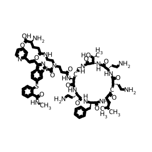 CNC(=O)c1ccccc1Sc1ccc2c(/C=C/c3ccccn3)nn(C(=O)N(CCNC(=O)CC[C@H](N)C(=O)O)CCC(=O)N[C@H]3CCNC(=O)[C@H]([C@@H](C)O)NC(=O)[C@H](CCN)NC(=O)[C@H](CCN)CC(=O)C(CC(C)C)NC(=O)[C@@H](Cc4ccccc4)NC(=O)[C@H](CCN)NC3=O)c2c1